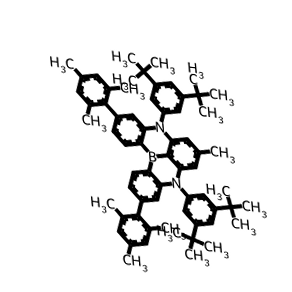 Cc1cc(C)c(-c2ccc3c(c2)N(c2cc(C(C)(C)C)cc(C(C)(C)C)c2)c2cc(C)cc4c2B3c2ccc(-c3c(C)cc(C)cc3C)cc2N4c2cc(C(C)(C)C)cc(C(C)(C)C)c2)c(C)c1